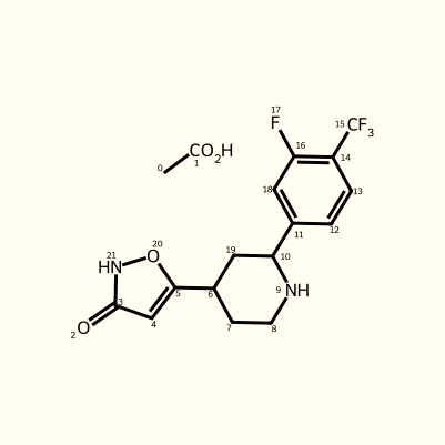 CC(=O)O.O=c1cc(C2CCNC(c3ccc(C(F)(F)F)c(F)c3)C2)o[nH]1